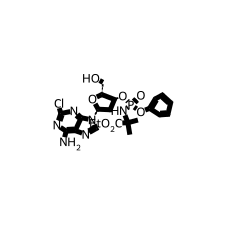 CCOC(=O)C(C)(C)NP(=O)(Oc1ccccc1)O[C@@H]1C[C@H](n2cnc3c(N)nc(Cl)nc32)O[C@@H]1CO